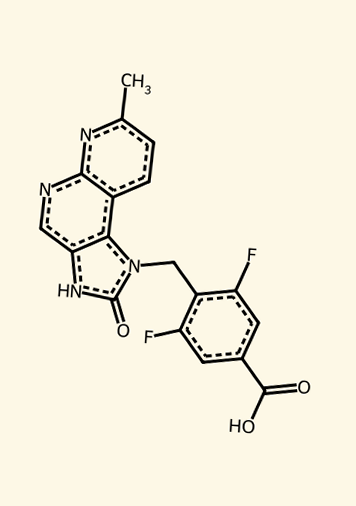 Cc1ccc2c(ncc3[nH]c(=O)n(Cc4c(F)cc(C(=O)O)cc4F)c32)n1